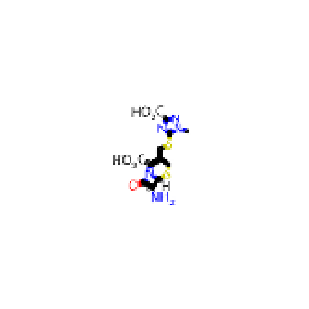 Cn1nc(C(=O)O)nc1SCC1=C(C(=O)O)N2C(=O)[C@@H](N)[C@H]2SC1